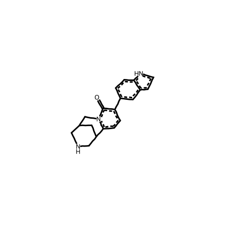 O=c1c(-c2ccc3[nH]ccc3c2)ccc2n1CC1CNCC2C1